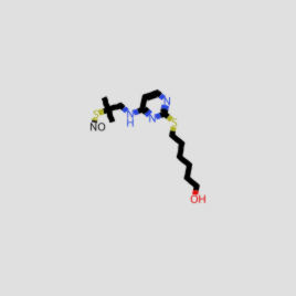 CC(C)(CNc1ccnc(SCCCCCCO)n1)SN=O